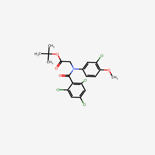 COc1ccc(N(CC(=O)OC(C)(C)C)C(=O)c2c(Cl)cc(Cl)cc2Cl)cc1Cl